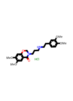 COc1ccc(CCNCCCN2COc3cc(OC)c(OC)cc3C2=O)cc1OC.Cl